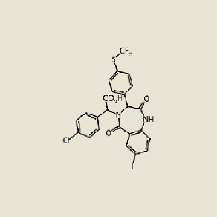 O=C(O)C(c1ccc(Cl)cc1)N1C(=O)c2cc(I)ccc2NC(=O)C1c1ccc(SC(F)(F)F)cc1